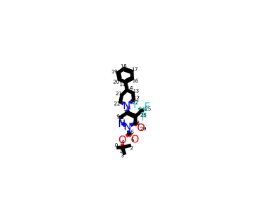 CC(C)(C)OC(=O)n1ncc(N2CCC(c3ccccc3)CC2)c(C(F)(F)F)c1=O